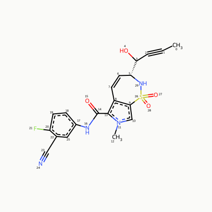 CC#CC(O)[C@H]1C=Cc2c(cn(C)c2C(=O)Nc2ccc(F)c(C#N)c2)S(=O)(=O)N1